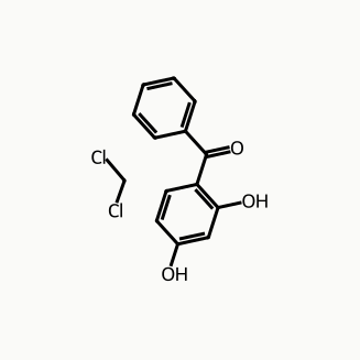 ClCCl.O=C(c1ccccc1)c1ccc(O)cc1O